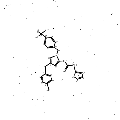 O=C(Nc1nccs1)Oc1cc(Cc2ccc(Cl)cc2)cn1Cc1ccc(C(F)(F)F)cc1